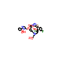 O=C(O)[C@H]1Cc2cc(ccc2OCc2ccnc(-c3ccccc3OO)n2)CN(CCCO)Cc2ccc(c(O)c2Cl)-c2c(-c3ccc(F)cc3)sc3ncnc(c23)O1